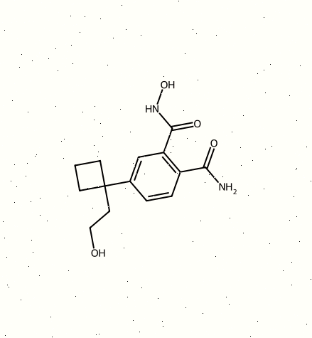 NC(=O)c1ccc(C2(CCO)CCC2)cc1C(=O)NO